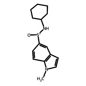 Cn1ccc2cc([S+]([O-])NC3CCCCC3)ccc21